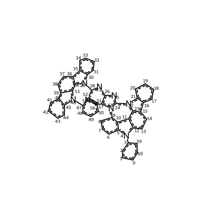 c1ccc(-n2c3cccc4c3c3c2ccc2c5ccccc5n(c23)c2nc3nc(-n5c6ccccc6c6ccc7c8ccccc8n(-c8ccccc8)c7c65)ncc3n42)cc1